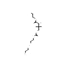 CC(=O)NCCSSCCNC(=O)OCC(C)(C)[C@@H](O)C(=O)NCCC(=O)O